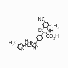 CCc1cc(C#N)cc(C)c1NC(Cc1ccc(-c2nnc(CNc3cc(C)ccn3)[nH]2)cc1)C(=O)O